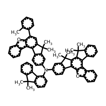 Cc1ccccc1-c1cc2c(c3c1oc1ccccc13)-c1ccc(N(c3ccc4c(c3)C(C)(C)c3c5c(c6c(oc7ccccc76)c3-4)-c3ccccc3C5(C)C)c3cccc4c3-c3ccccc3C4(C)C)cc1C2(C)C